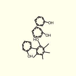 Cc1c(C)c(C)c(-c2ccccc2O)c(O)c1C.Oc1ccccc1.Oc1ccccc1